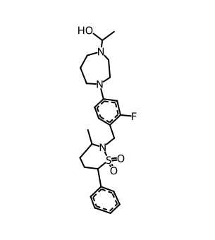 CC(O)N1CCCN(c2ccc(CN3C(C)CCC(c4ccccc4)S3(=O)=O)c(F)c2)CC1